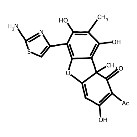 CC(=O)C1=C(O)C=C2Oc3c(-c4csc(N)n4)c(O)c(C)c(O)c3C2(C)C1=O